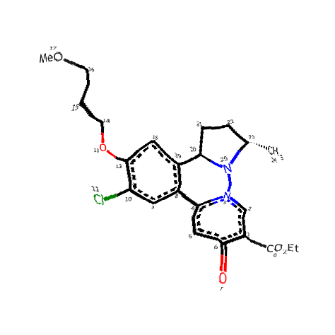 CCOC(=O)c1cn2c(cc1=O)-c1cc(Cl)c(OCCCOC)cc1C1CC[C@H](C)N12